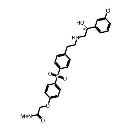 CNC(=O)COc1ccc(S(=O)(=O)c2ccc(CCNC[C@H](O)c3cccc(Cl)c3)cc2)cc1